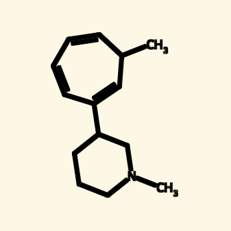 CC1C=CC=CC(C2CCCN(C)C2)=C1